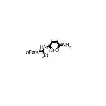 CCCCCC(CC)NC(=O)/C=C\C(N)=O